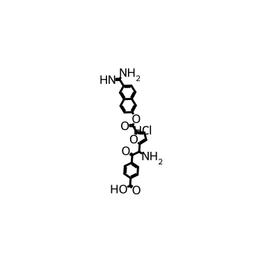 Cl.N=C(N)c1ccc2cc(OC(=O)c3ccc(C(N)C(=O)c4ccc(C(=O)O)cc4)o3)ccc2c1